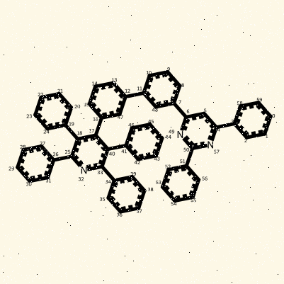 c1ccc(-c2cc(-c3cccc(-c4cccc(-c5c(-c6ccccc6)c(-c6ccccc6)nc(-c6ccccc6)c5-c5ccccc5)c4)c3)nc(-c3ccccc3)n2)cc1